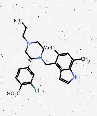 COc1cc(C)c2[nH]ccc2c1CN1CCN(CCC(F)(F)F)C[C@H]1c1ccc(C(=O)O)c(Cl)c1